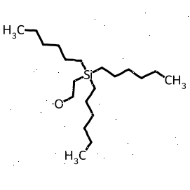 CCCCCC[Si](CC[O])(CCCCCC)CCCCCC